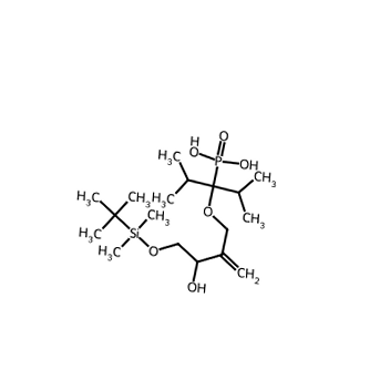 C=C(COC(C(C)C)(C(C)C)P(=O)(O)O)C(O)CO[Si](C)(C)C(C)(C)C